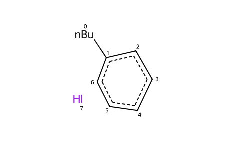 CCCCc1ccccc1.I